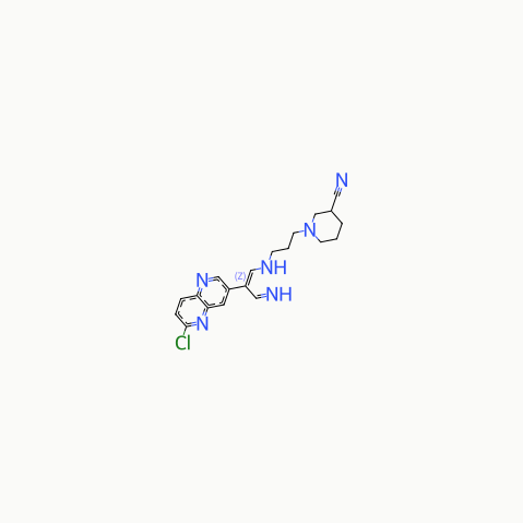 N#CC1CCCN(CCCN/C=C(\C=N)c2cnc3ccc(Cl)nc3c2)C1